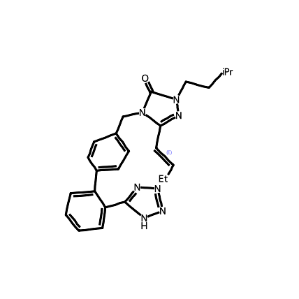 CC/C=C/c1nn(CCC(C)C)c(=O)n1Cc1ccc(-c2ccccc2-c2nnn[nH]2)cc1